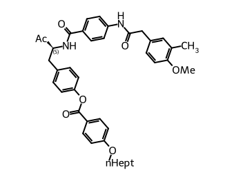 CCCCCCCOc1ccc(C(=O)Oc2ccc(C[C@H](NC(=O)c3ccc(NC(=O)Cc4ccc(OC)c(C)c4)cc3)C(C)=O)cc2)cc1